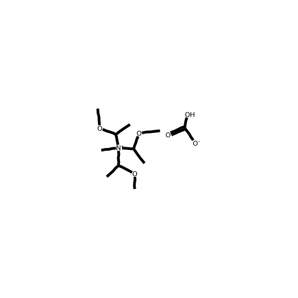 COC(C)[N+](C)(C(C)OC)C(C)OC.O=C([O-])O